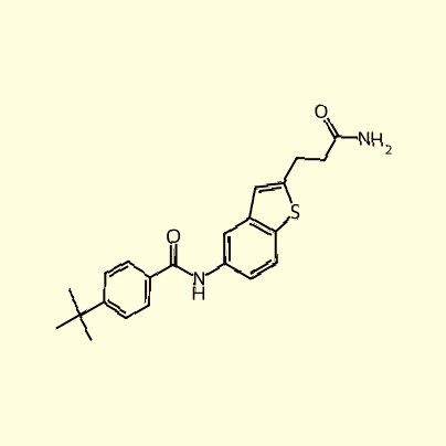 CC(C)(C)c1ccc(C(=O)Nc2ccc3sc(CCC(N)=O)cc3c2)cc1